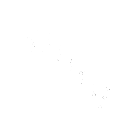 CS(=O)(=O)OCCOCCCCc1ccccc1